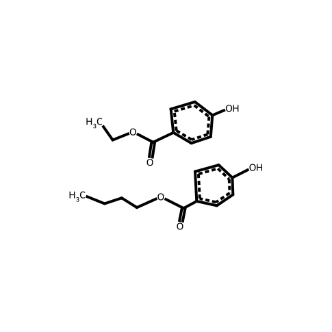 CCCCOC(=O)c1ccc(O)cc1.CCOC(=O)c1ccc(O)cc1